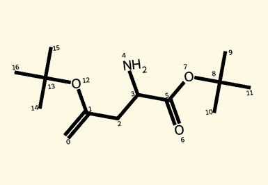 C=C(CC(N)C(=O)OC(C)(C)C)OC(C)(C)C